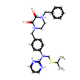 CC(C)SCN(c1ccc(CN2CCN(Cc3ccccc3)C(=O)C2=O)cc1)c1ncccn1